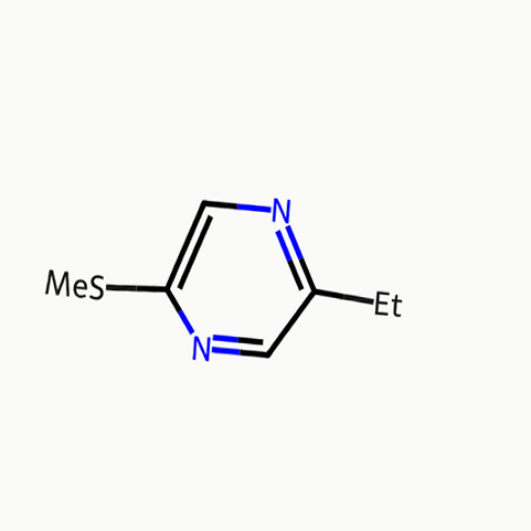 CCc1cnc(SC)cn1